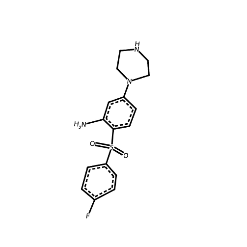 Nc1cc(N2CCNCC2)ccc1S(=O)(=O)c1ccc(F)cc1